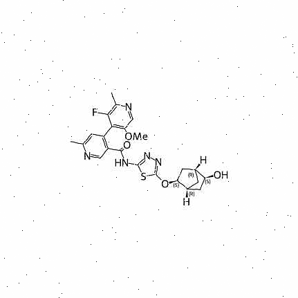 COc1cnc(C)c(F)c1-c1cc(C)ncc1C(=O)Nc1nnc(O[C@H]2C[C@H]3C[C@@H]2C[C@@H]3O)s1